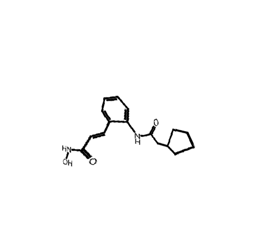 O=C(C=Cc1ccccc1NC(=O)CC1CCCC1)NO